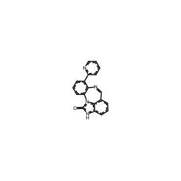 O=c1[nH]c2cccc3c2n1-c1cccc(-c2ccccn2)c1N=C3